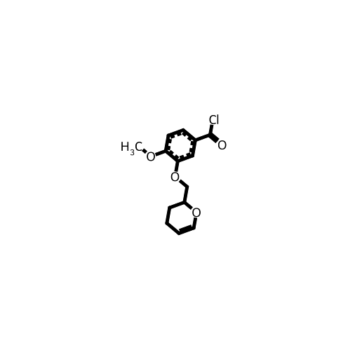 COc1ccc(C(=O)Cl)cc1OCC1CCC=CO1